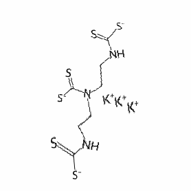 S=C([S-])NCCN(CCNC(=S)[S-])C(=S)[S-].[K+].[K+].[K+]